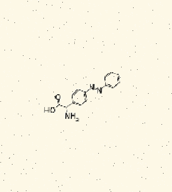 NC(C(=O)O)c1ccc(N=Nc2ccccc2)cc1